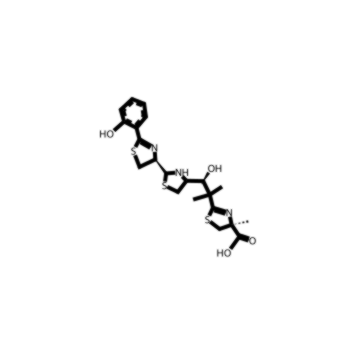 CC(C)(C1=N[C@@](C)(C(=O)O)CS1)[C@H](O)C1CSC([C@H]2CSC(c3ccccc3O)=N2)N1